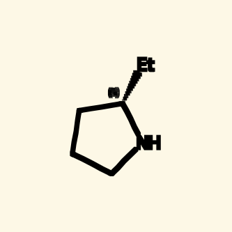 [CH2]C[C@H]1CCCN1